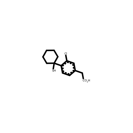 O=C(O)Cc1ccc(C2(S)CCCCC2)c(Cl)c1